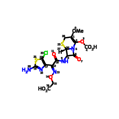 COC1=C(OC(=O)O)N2C(=O)C(NC(=O)C(=NOCC(=O)O)c3nc(N)sc3Cl)[C@@H]2SC1